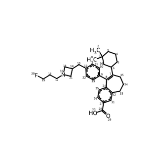 CC1(C)CCCC(C2=C(c3ccc(CC4CN(CCCF)C4)cc3)c3ccc(C(=O)O)cc3CCC2)C1